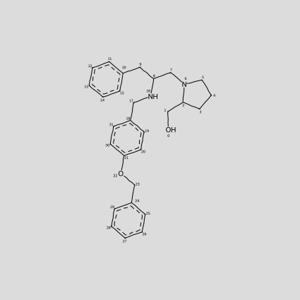 OCC1CCCN1CC(Cc1ccccc1)NCc1ccc(OCc2ccccc2)cc1